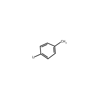 [Li][c]1ccc(C)cc1